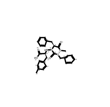 COC(=O)[C@H](Cc1ccccc1)N(N[C@@H](Cc1ccc(C)cc1)C(=O)O)C(=O)OCc1ccccc1